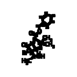 CC(O)[C@@]1(Br)C(=O)N2[C@@H](C(=O)OCc3ccccc3)C(C)(C)S[C@@H]21